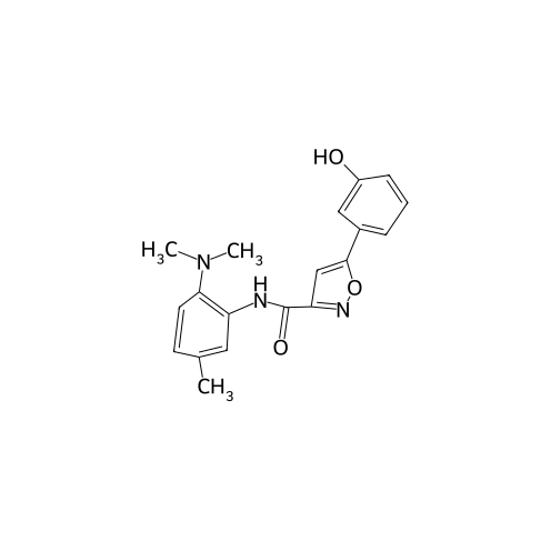 Cc1ccc(N(C)C)c(NC(=O)c2cc(-c3cccc(O)c3)on2)c1